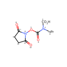 CCCN(C(=O)O)C(=O)ON1C(=O)CCC1=O